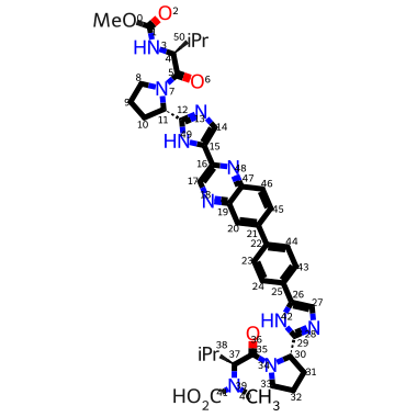 COC(=O)N[C@H](C(=O)N1CCC[C@H]1c1ncc(-c2cnc3cc(-c4ccc(-c5cnc([C@@H]6CCCN6C(=O)[C@H](C(C)C)N(C)C(=O)O)[nH]5)cc4)ccc3n2)[nH]1)C(C)C